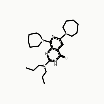 CCCN(CCC)c1nc2c(N3CCCCCC3)nc(N3CCCCCC3)cc2c(=O)[nH]1